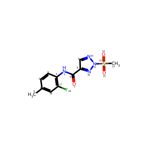 Cc1ccc(NC(=O)c2cnn(S(C)(=O)=O)n2)c(F)c1